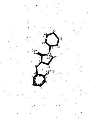 O=C1C(Cc2ccccc2F)CCN1C1CCCCC1